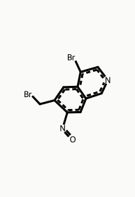 O=Nc1cc2cncc(Br)c2cc1CBr